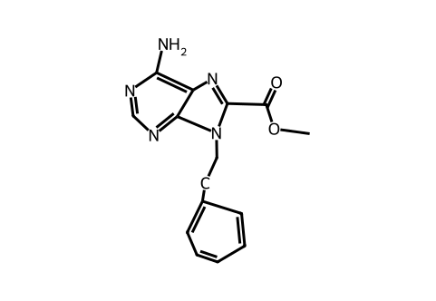 COC(=O)c1nc2c(N)ncnc2n1CCc1ccccc1